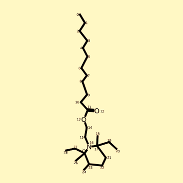 CCCCCCCCCCCC(=O)OCCN1C(C)(CC)CCC(C)C1(C)CC